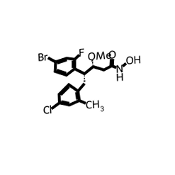 CO[C@H](CC(=O)NO)[C@H](Cc1ccc(Cl)cc1C)c1ccc(Br)cc1F